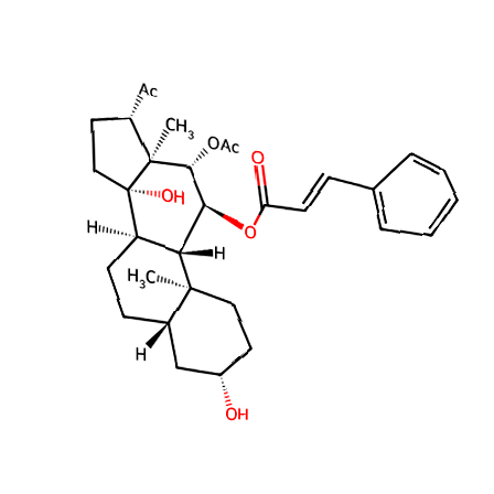 CC(=O)O[C@@H]1[C@@H](OC(=O)/C=C/c2ccccc2)[C@H]2[C@@H](CC[C@H]3C[C@@H](O)CC[C@@]32C)[C@@]2(O)CC[C@H](C(C)=O)[C@@]12C